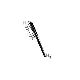 CCCCCCCCCCCCCCCCC[SiH2]O[SiH2]O[SiH2]O[SiH2]O[SiH2]O[SiH2]O[SiH3]